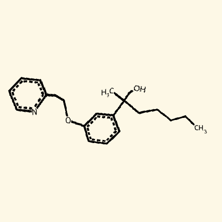 CCCCCC(C)(O)c1cccc(OCc2ccccn2)c1